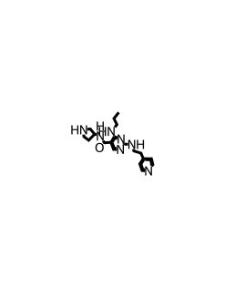 CCCNc1nc(NCCc2ccncc2)ncc1C(=O)NC1CCNC1